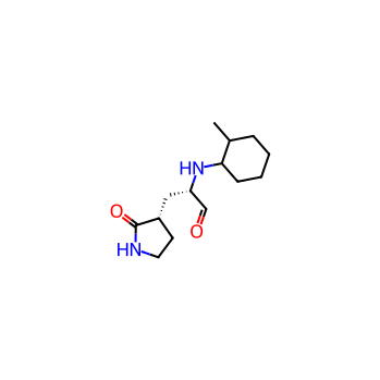 CC1CCCCC1N[C@H](C=O)C[C@@H]1CCNC1=O